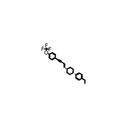 CCc1ccc([C@H]2CC[C@H](/C=C/C#Cc3ccc(OC(F)(F)F)cc3)CC2)cc1